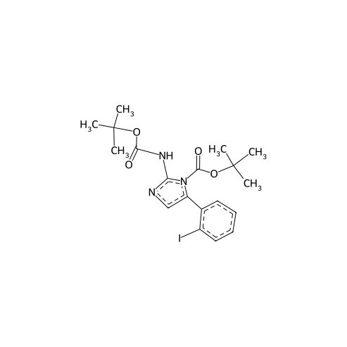 CC(C)(C)OC(=O)Nc1ncc(-c2ccccc2I)n1C(=O)OC(C)(C)C